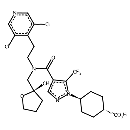 C[C@@]1(CN(CCc2c(Cl)cncc2Cl)C(=O)c2cnn([C@H]3CC[C@H](C(=O)O)CC3)c2C(F)(F)F)CCCO1